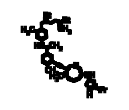 C=C(Nc1ccc(CN(CC)CCN(C)CC)c(C)c1)c1ccc(C)c(C#Cc2cncc(NC3=CN(C(C)C)NC3)cccn2C)c1